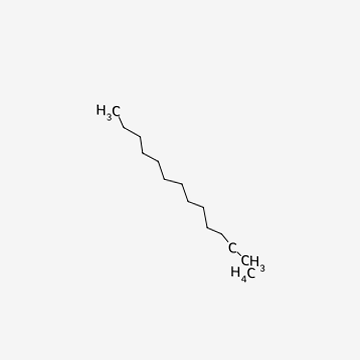 C.CCCCCCCCCCCCC